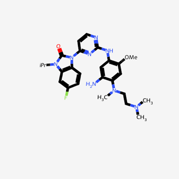 COc1cc(N(C)CCN(C)C)c(N)cc1Nc1nccc(-n2c(=O)n(C(C)C)c3cc(F)ccc32)n1